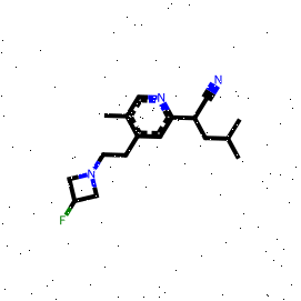 Cc1cnc(C(C#N)CC(C)C)cc1CCN1CC(F)C1